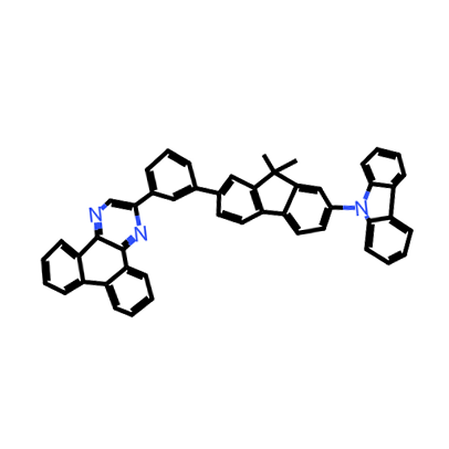 CC1(C)c2cc(-c3cccc(-c4cnc5c6ccccc6c6ccccc6c5n4)c3)ccc2-c2ccc(-n3c4ccccc4c4ccccc43)cc21